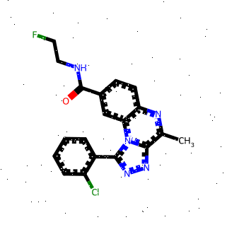 Cc1nc2ccc(C(=O)NCCF)cc2n2c(-c3ccccc3Cl)nnc12